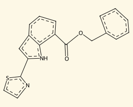 O=C(OCc1ccccc1)c1cccc2cc(-c3nccs3)[nH]c12